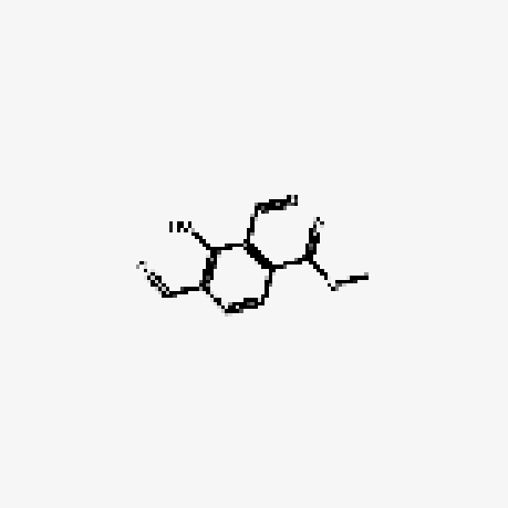 COC(=O)c1ccc(C=O)c(O)c1C=O